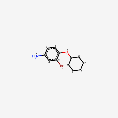 Nc1ccc(OC2CCCCC2)c(Br)c1